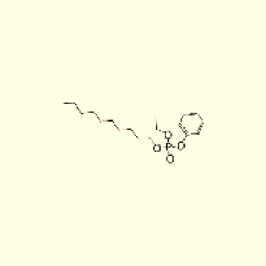 CCCCCCCCCCOP(=O)(OCC)Oc1ccccc1